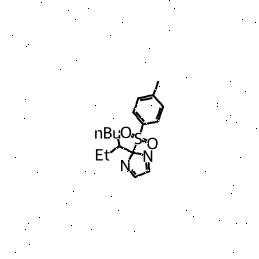 CCCCC(CC)C1(S(=O)(=O)c2ccc(C)cc2)N=CC=N1